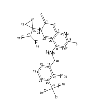 C=C1C=c2nc(C)nc(NCc3cccc(C(C)(F)F)c3F)c2=CN1C1(C(F)F)CC1